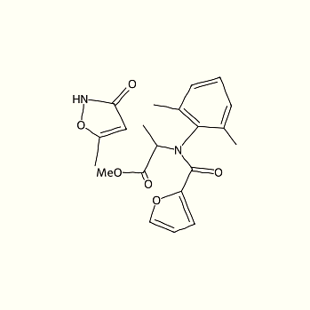 COC(=O)C(C)N(C(=O)c1ccco1)c1c(C)cccc1C.Cc1cc(=O)[nH]o1